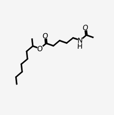 CCCCCCC(C)OC(=O)CCCCNC(C)=O